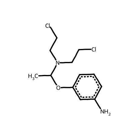 CC(Oc1cccc(N)c1)N(CCCl)CCCl